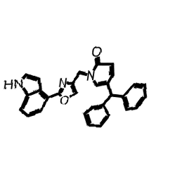 O=c1ccc(C(c2ccccc2)c2ccccc2)cn1Cc1coc(-c2cccc3[nH]ccc23)n1